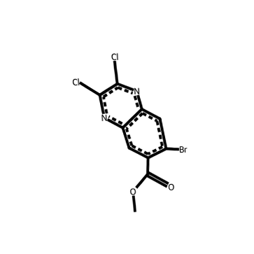 COC(=O)c1cc2nc(Cl)c(Cl)nc2cc1Br